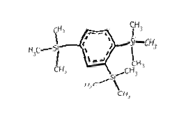 C[Si](C)(C)c1c[c]c([Si](C)(C)C)c([Si](C)(C)C)c1